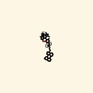 CC1=CC(C)=[N+]2C1=C(c1c(C)cc(OC(=O)CCCc3ccc4c5cccc6cccc(c7cccc3c74)c65)cc1C)c1c(C)cc(C)n1[B-]2(F)F